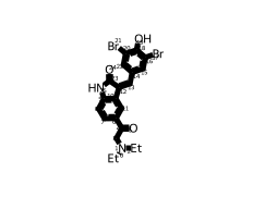 CCN(CC)CC(=O)c1ccc2c(c1)C(=Cc1cc(Br)c(O)c(Br)c1)C(=O)N2